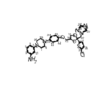 Nc1cccc(N2CCN(c3ccc(OCC4COC(Cn5cncn5)(c5ccc(Cl)s5)O4)cc3)CC2)c1